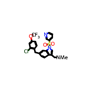 CNCc1cn(S(=O)(=O)c2cccnc2)c2cc(Cc3ccc(OC(F)(F)F)cc3Cl)ccc12